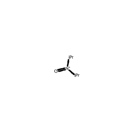 CC(C)[N+](=O)C(C)C